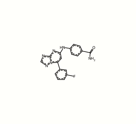 NC(=O)c1ccc(Nc2cc(-c3cccc(F)c3)n3ncnc3n2)cc1